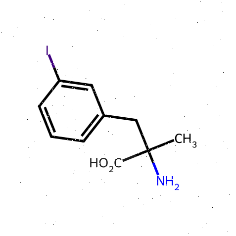 CC(N)(Cc1cccc(I)c1)C(=O)O